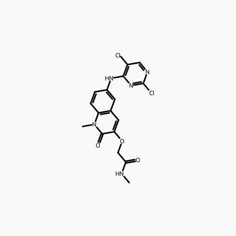 CNC(=O)COc1cc2cc(Nc3nc(Cl)ncc3Cl)ccc2n(C)c1=O